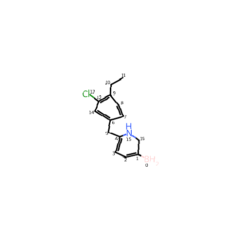 BC1=CC=C(Cc2ccc(CC)c(Cl)c2)NC1